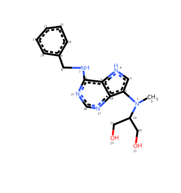 CN(c1c[nH]c2c(NCc3ccccc3)ncnc12)C(CO)CO